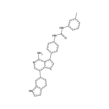 Cc1cccc(NC(=O)Nc2ccc(-c3csc4c(-c5ccc6cc[nH]c6c5)cnc(N)c34)cc2)c1